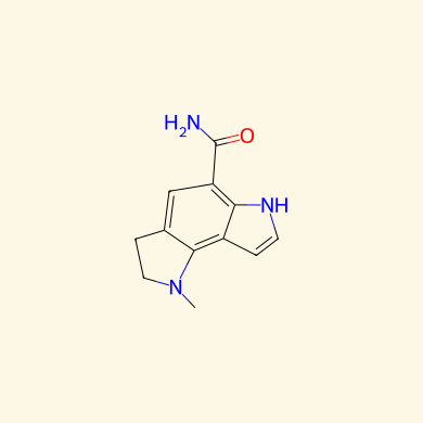 CN1CCc2cc(C(N)=O)c3[nH]ccc3c21